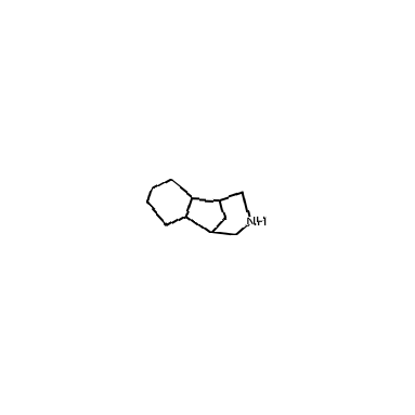 C1CCC2C3CNCC(C3)C2C1